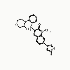 Cn1c(=O)c(Nc2ccccc2N2CCOCC2Cl)nc2ccc(-c3cn[nH]c3)cc21